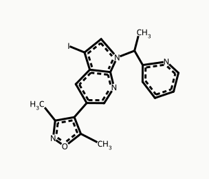 Cc1noc(C)c1-c1cnc2c(c1)c(I)cn2C(C)c1ccccn1